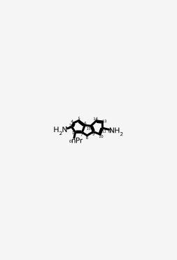 CCCc1c(N)ccc2c1Cc1cc(N)ccc1-2